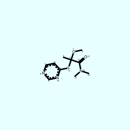 COC(C)(Sc1ccncn1)C(=O)N(C)C